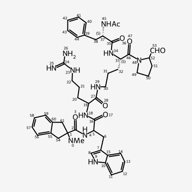 CNC1(C(=O)NC(Cc2c[nH]c3ccccc23)C(=O)NC(CCCNC(=N)N)C(=O)NCCC[C@H](NC(=O)[C@H](Cc2ccccc2)NC(C)=O)C(=O)N2CCCC2C=O)Cc2ccccc2C1